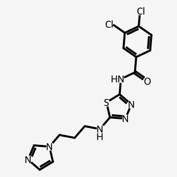 O=C(Nc1nnc(NCCCn2ccnc2)s1)c1ccc(Cl)c(Cl)c1